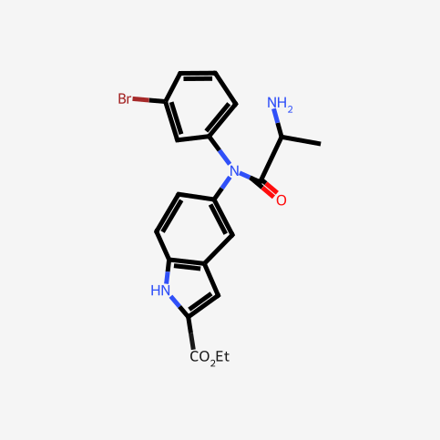 CCOC(=O)c1cc2cc(N(C(=O)C(C)N)c3cccc(Br)c3)ccc2[nH]1